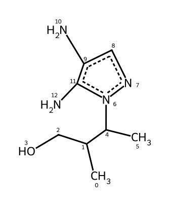 CC(CO)C(C)n1ncc(N)c1N